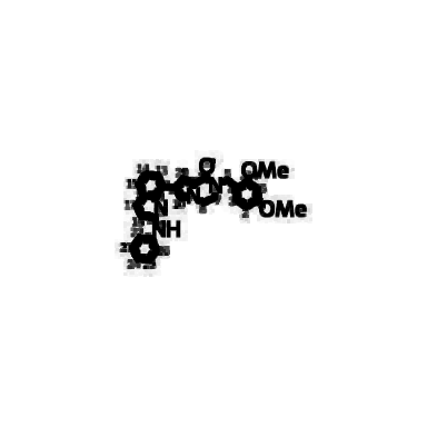 COc1ccc(CN2CCn3cc(-c4cccc5ccc(Nc6ccccc6)nc45)cc3C2=O)c(OC)c1